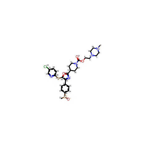 CN1CCN(CCOC(=O)N2CCC(c3nc(-c4ccc([S+](C)[O-])cc4)c(Sc4ccc(Cl)cn4)o3)CC2)CC1